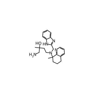 CC(O)(CN)CCN(Cc1nc2ccccc2[nH]1)C1(C)CCCc2cccnc21